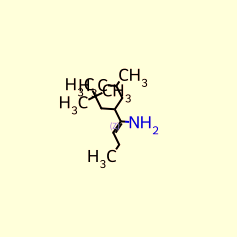 CC/C=C(\N)C(CC(C)C)CC(C)(C)C